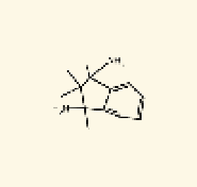 CC1(N)c2ccccc2C(C)(N)C1(C)C